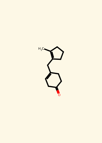 CC1=C(CC2=CCC(=O)CC2)CCC1